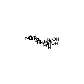 Cc1nc(NCc2cnn([C@H](C)c3ccc(F)cc3)c2)nc2c1NC(O)[C@H](CO)N2C